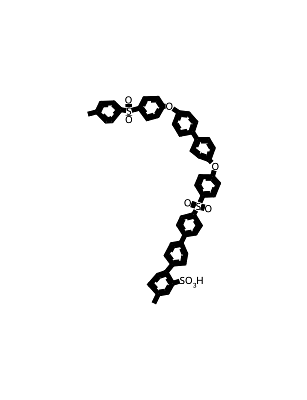 Cc1ccc(S(=O)(=O)c2ccc(Oc3ccc(-c4ccc(Oc5ccc(S(=O)(=O)c6ccc(-c7ccc(-c8ccc(C)cc8S(=O)(=O)O)cc7)cc6)cc5)cc4)cc3)cc2)cc1